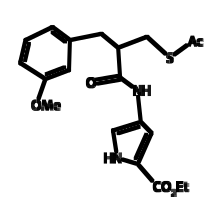 CCOC(=O)c1cc(NC(=O)C(CSC(C)=O)Cc2cccc(OC)c2)c[nH]1